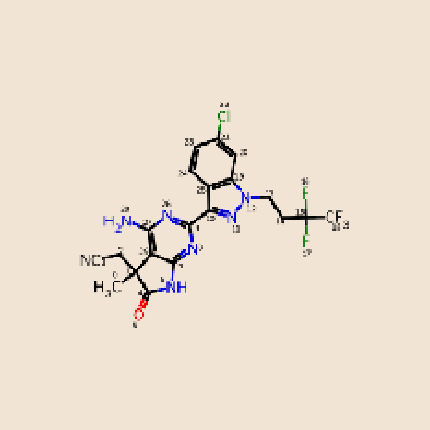 CC1(CC#N)C(=O)Nc2nc(-c3nn(CCC(F)(F)C(F)(F)F)c4cc(Cl)ccc34)nc(N)c21